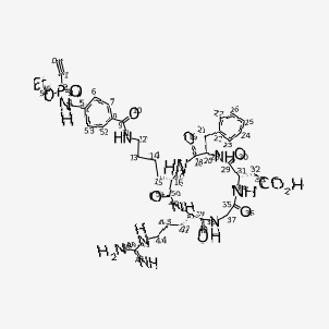 C#CP(=O)(Nc1ccc(C(=O)NCCCC[C@@H]2NC(=O)[C@@H](Cc3ccccc3)NC(=O)[C@H](CC(=O)O)NC(=O)CNC(=O)[C@H](CCCNC(=N)N)NC2=O)cc1)OCC